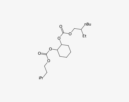 CCCCC(CC)COC(=O)OC1CCCCC1OC(=O)OCCC(C)C